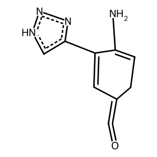 NC1=CCC(=C=O)C=C1c1c[nH]nn1